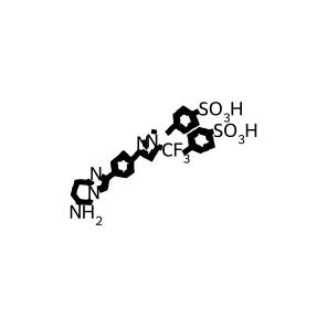 Cc1ccc(S(=O)(=O)O)cc1.Cc1ccc(S(=O)(=O)O)cc1.Cn1nc(-c2ccc(-c3cn4c(n3)CCC(N)C4)cc2)cc1C(F)(F)F